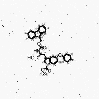 CC(C)(C)OC(=O)n1cc(C[C@H](NC(=O)OCC2c3ccccc3-c3ccccc32)C(=O)O)c2cc(Oc3ccccc3)ccc21